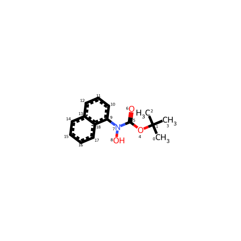 CC(C)(C)OC(=O)N(O)c1cccc2ccccc12